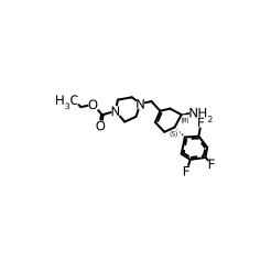 CCOC(=O)N1CCN(CC2=CC[C@@H](c3cc(F)c(F)cc3F)[C@H](N)C2)CC1